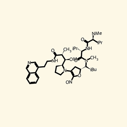 CC[C@H](C)C([C@H]1CC(N2CCC[C@H]2[C@H](OC)[C@@H](C)C(=O)NCCc2cncc3ccccc23)=C(N=O)O1)N(C)C(=O)[C@@H](NC(=O)[C@@H](NC)C(C)C)C(C)C